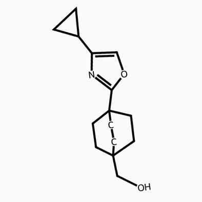 OCC12CCC(c3nc(C4CC4)co3)(CC1)CC2